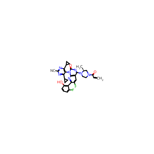 C=CC(=O)N1CCN(c2nc(=O)n(-c3c(C4CC4)nc(C#N)nc3C3CC3)c3nc(-c4c(O)cccc4F)c(F)cc23)[C@@H](C)C1